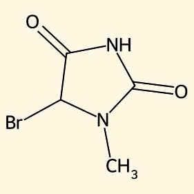 CN1C(=O)NC(=O)C1Br